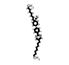 CCCCCCCCCc1cnc(-c2ccc([C@H]3CC[C@@](C#N)(CCCCCCCC)CC3)cc2)nc1